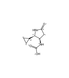 O=C(O)N[C@@H]1CC(=O)N[C@@H]1C1CC1